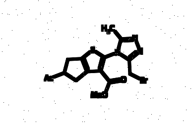 COC(=O)c1c(-n2c(C)nnc2CBr)sc2c1CC(C(C)=O)C2